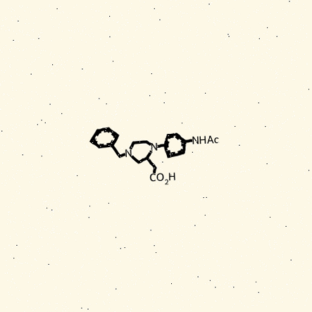 CC(=O)Nc1ccc(N2CCN(Cc3ccccc3)CC2CC(=O)O)cc1